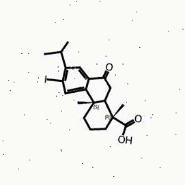 CC(C)c1cc2c(cc1I)[C@@]1(C)CCC[C@@](C)(C(=O)O)C1CC2=O